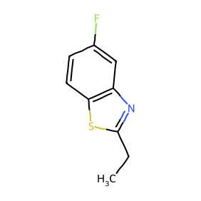 CCc1nc2cc(F)ccc2s1